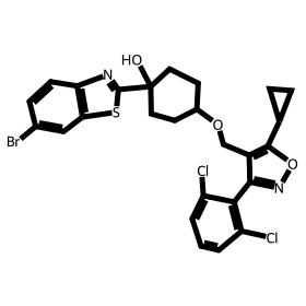 OC1(c2nc3ccc(Br)cc3s2)CCC(OCc2c(-c3c(Cl)cccc3Cl)noc2C2CC2)CC1